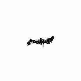 C=CC(=O)Nc1cc(Nc2cc(-c3ccnc(N4CCn5c(cc6c5CC(C)(C)C6)C4=O)c3CO)cn(C)c2=O)ncc1N1CCN(C2CCN(c3ccnc(N4CCOC[C@@H]4C)c3)[C@@H](C)C2)C[C@@H]1C